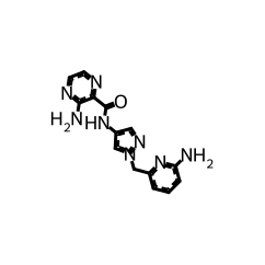 Nc1cccc(Cn2cc(NC(=O)c3nccnc3N)cn2)n1